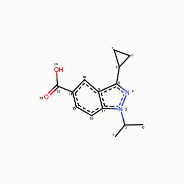 CC(C)n1nc(C2CC2)c2cc(C(=O)O)ccc21